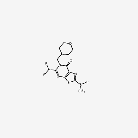 C[S+]([O-])c1nc2c(=O)n(CC3CCOCC3)c(C(F)F)nc2s1